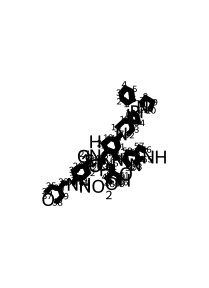 CC(C)c1ccccc1[C@@H]1CCCN1C1CC2(CCN(c3ccc(C(=O)NS(=O)(=O)c4ccc(NCC5CCOCC5)c([N+](=O)[O-])c4)c(N4C[C@H]5COC[C@@H]5Oc5nc6[nH]ccc6cc54)c3)CC2)C1